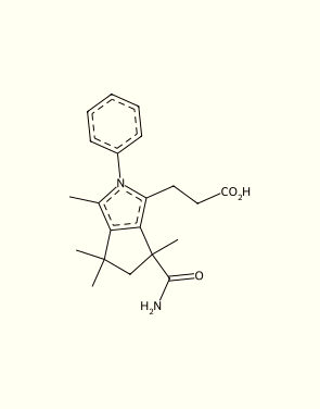 Cc1c2c(c(CCC(=O)O)n1-c1ccccc1)C(C)(C(N)=O)CC2(C)C